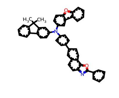 CC1(C)c2ccccc2-c2ccc(N(c3ccc(-c4ccc5c(ccc6nc(-c7ccccc7)oc65)c4)cc3)c3ccc4oc5ccccc5c4c3)cc21